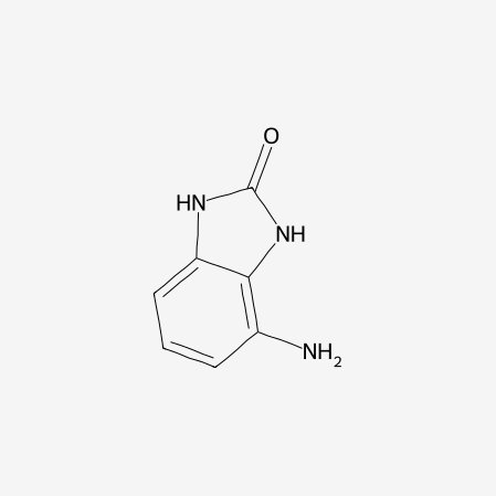 Nc1cccc2[nH]c(=O)[nH]c12